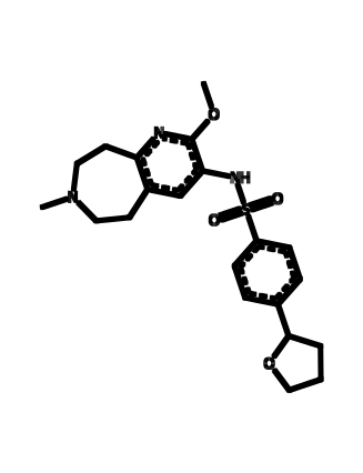 COc1nc2c(cc1NS(=O)(=O)c1ccc(C3CCCO3)cc1)CCN(C)CC2